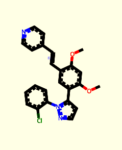 COc1cc(OC)c(-c2ccnn2-c2ccccc2Cl)cc1/C=C/c1ccncc1